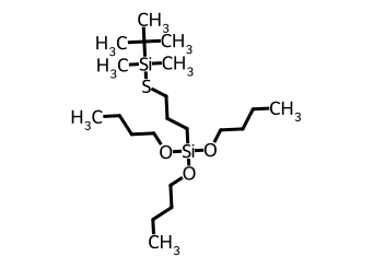 CCCCO[Si](CCCS[Si](C)(C)C(C)(C)C)(OCCCC)OCCCC